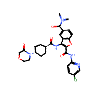 CN(C)C(=O)c1ccc2oc(C(=O)Nc3ccc(Cl)cn3)c(NC(=O)[C@H]3CC[C@H](N4CCOCC4=O)CC3)c2c1